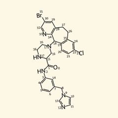 O=C(Nc1cccc(Cn2ccnc2)c1)C1CN(C2c3ccc(Cl)cc3CCc3cc(Br)cnc32)CCN1